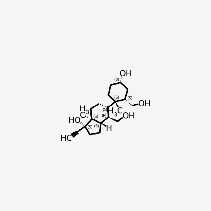 C#C[C@]1(O)CC[C@H]2[C@H](CO)[C@@H]([C@]3(C)CC[C@H](O)C[C@@H]3CO)CC[C@@]21C